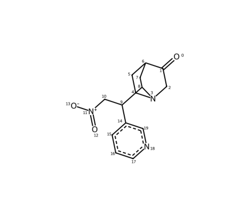 O=C1CN2CCC1CC2C(C[N+](=O)[O-])c1cccnc1